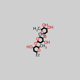 CC[C@H]1C[C@H](O)[C@H](OC2C[C@H](O)[C@H](O[C@H]3C[C@H](O)[C@H](O)[C@@H](C)O3)[C@@H](C)O2)[C@@H](C)O1